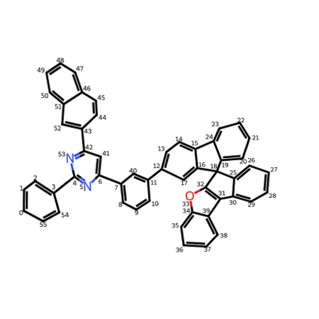 c1ccc(-c2nc(-c3cccc(-c4ccc5c(c4)C4(c6ccccc6-5)c5ccccc5-c5c4oc4ccccc54)c3)cc(-c3ccc4ccccc4c3)n2)cc1